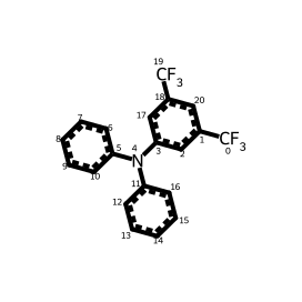 FC(F)(F)c1cc(N(c2ccccc2)c2ccccc2)cc(C(F)(F)F)c1